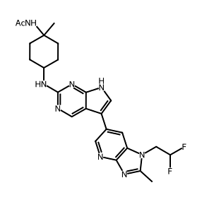 CC(=O)NC1(C)CCC(Nc2ncc3c(-c4cnc5nc(C)n(CC(F)F)c5c4)c[nH]c3n2)CC1